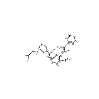 CC(C)COc1cccc(C(=O)Nc2cnc(F)c(NC(=O)c3ccccc3)c2)c1